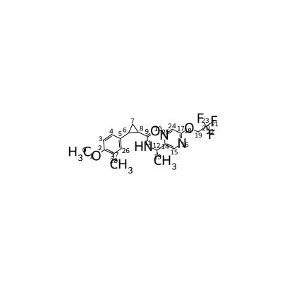 COc1ccc(C2CC2C(=O)N[C@H](C)c2cnc(OCC(F)(F)F)cn2)cc1C